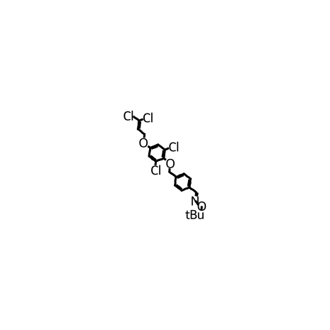 CC(C)(C)ON=Cc1ccc(COc2c(Cl)cc(OCC=C(Cl)Cl)cc2Cl)cc1